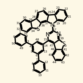 c1ccc(-c2cc(-c3ccccc3)cc(-c3nc(-n4c5ccccc5c5ccc6c7ccccc7sc6c54)nc4sc5ccccc5c34)c2)cc1